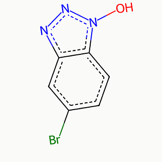 On1nnc2cc(Br)ccc21